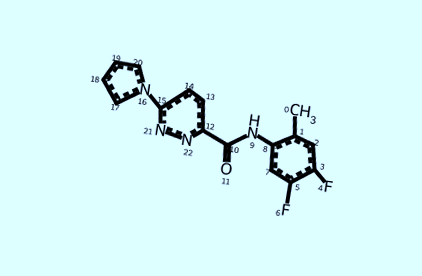 Cc1cc(F)c(F)cc1NC(=O)c1ccc(-n2cccc2)nn1